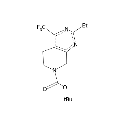 CCc1nc2c(c(C(F)(F)F)n1)CCN(C(=O)OC(C)(C)C)C2